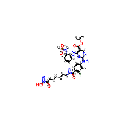 CC(C)OC(=O)c1cnc(Nc2ccc(C(=O)NCCCCCCC(=O)NO)c(F)c2)nc1Nc1ccccc1N(C)S(C)(=O)=O